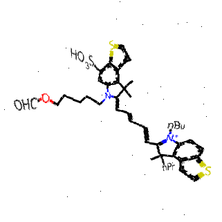 CCCC[N+]1=C(/C=C/C=C/C=C2/N(CCCCCOC=O)c3cc(S(=O)(=O)O)c4sccc4c3C2(C)C)C(C)(CCC)c2c1ccc1sccc21